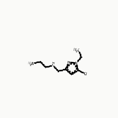 CCn1nc(CNCCN)cc1Cl